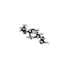 COC1C2CO[PH](=O)OC3C(CO[P@](=O)(S)OC1C(n1cnc4c(=O)[nH]c(N)nc41)O2)OC(n1cnc2c(N)ncnc21)C3O